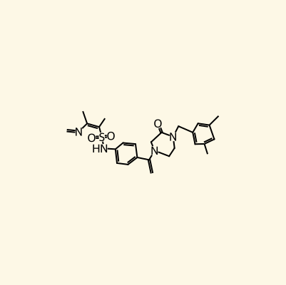 C=N/C(C)=C(/C)S(=O)(=O)Nc1ccc(C(=C)N2CCN(Cc3cc(C)cc(C)c3)C(=O)C2)cc1